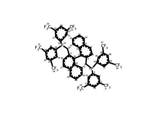 FC(F)(F)c1cc(P(Cc2ccc3ccccc3c2-c2c(CP(c3cc(C(F)(F)F)cc(C(F)(F)F)c3)c3cc(C(F)(F)F)cc(C(F)(F)F)c3)ccc3ccccc23)c2cc(C(F)(F)F)cc(C(F)(F)F)c2)cc(C(F)(F)F)c1